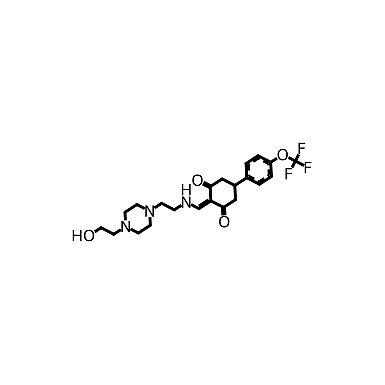 O=C1CC(c2ccc(OC(F)(F)F)cc2)CC(=O)C1=CNCCN1CCN(CCO)CC1